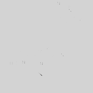 CN1C[C@H](c2ccccc2)N(CC(=O)Nc2ccc3c(c2)C[C@@]2(C3)C(=O)Nc3ncccc32)C(=O)C12CC2